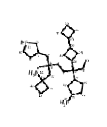 CCC(CC[C@@](C)(CC1CCPC1)CC1(P)CCC1)(C1CCC(P)C1)C1CC(C2CCC2)C1